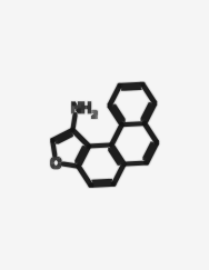 Nc1coc2ccc3ccc4ccccc4c3c12